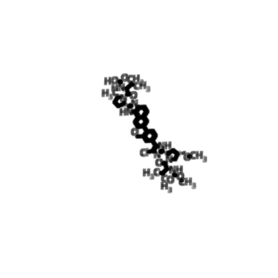 COC[C@H]1C[C@@H](c2nc(Cl)c(-c3ccc4c(c3)COc3cc5c(ccc6nc([C@@H]7CC[C@H](C)N7C(=O)[C@@H](NC(=O)O)C(C)C)[nH]c65)cc3-4)[nH]2)N(C(=O)[C@@H](NC(=O)OC)C(C)C)C1